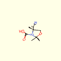 CC1(C)OC[C@@](C)(C#N)N1C(=O)O